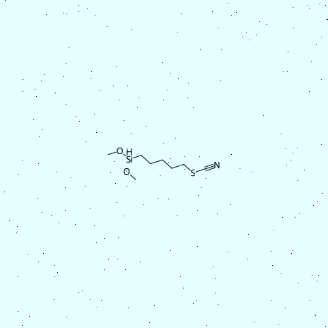 CO[SiH](CCCCCSC#N)OC